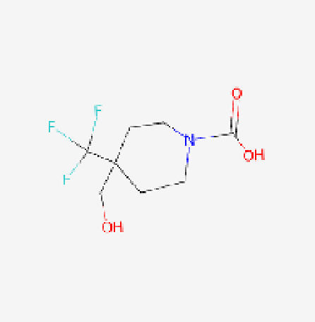 O=C(O)N1CCC(CO)(C(F)(F)F)CC1